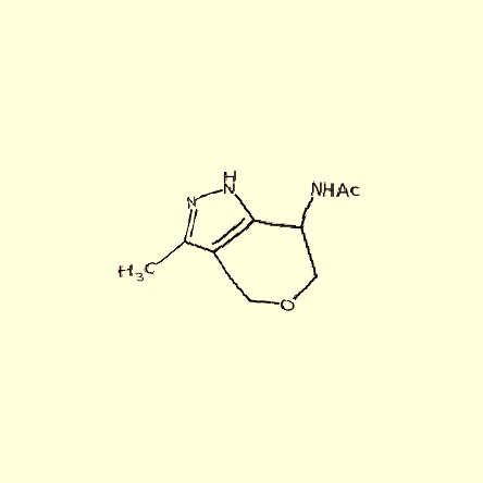 CC(=O)NC1COCc2c(C)n[nH]c21